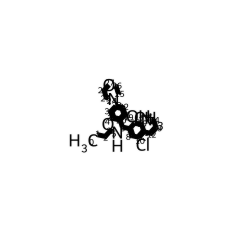 CCCC(=O)NC(C1=CC(Cl)=C2C=CC=NC2(C)C1O)c1ccc(N2CCOCC2)cc1